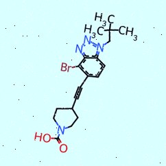 CC(C)(C)Cn1nnc2c(Br)c(C#CC3CCN(C(=O)O)CC3)ccc21